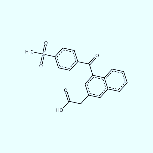 CS(=O)(=O)c1ccc(C(=O)c2cc(CC(=O)O)cc3ccccc23)cc1